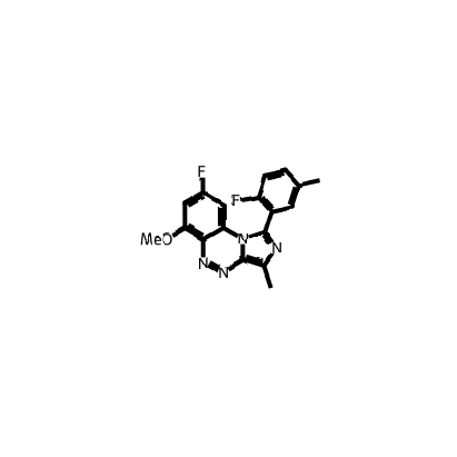 COc1cc(F)cc2c1nnc1c(C)nc(-c3cc(C)ccc3F)n12